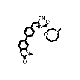 CN1CCCCO[C@H](C(=O)N[C@H](C#N)Cc2ccc(-c3ccc4oc(=O)n(C)c4c3)cc2)C1